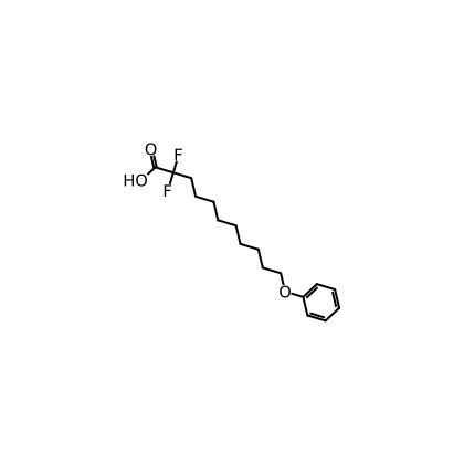 O=C(O)C(F)(F)CCCCCCCCCOc1ccccc1